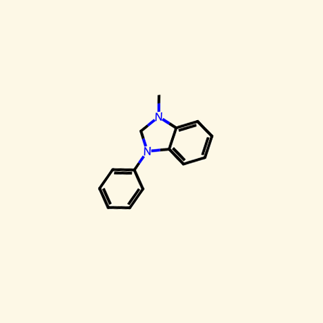 CN1CN(c2ccccc2)c2ccccc21